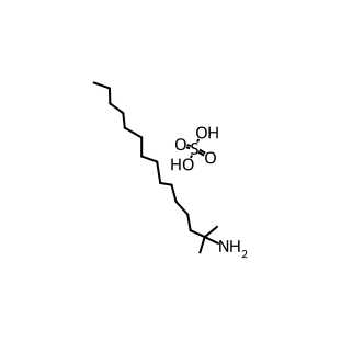 CCCCCCCCCCCCCC(C)(C)N.O=S(=O)(O)O